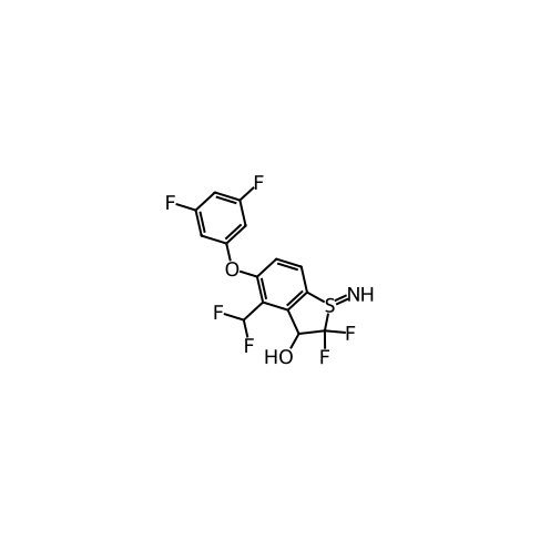 N=S1c2ccc(Oc3cc(F)cc(F)c3)c(C(F)F)c2C(O)C1(F)F